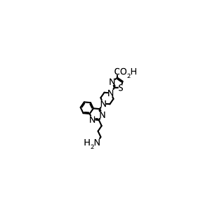 NCCCc1nc(N2CCN(c3nc(C(=O)O)cs3)CC2)c2ccccc2n1